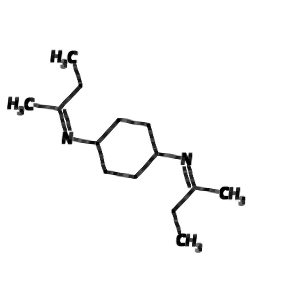 CCC(C)=NC1CCC(N=C(C)CC)CC1